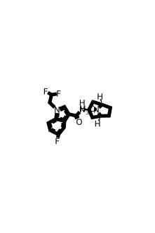 CN1[C@@H]2CC[C@H]1C[C@@H](NC(=O)c1cn(CC(F)F)c3ccc(F)cc13)C2